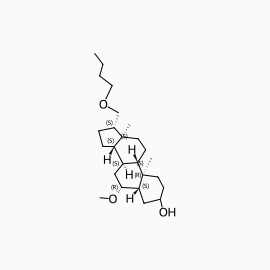 CCCCOC[C@H]1CC[C@H]2[C@@H]3C[C@@H](OC)[C@H]4CC(O)CC[C@]4(C)[C@H]3CC[C@]12C